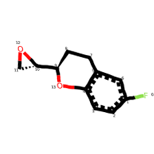 Fc1ccc2c(c1)CC[C@H]([C@@H]1CO1)O2